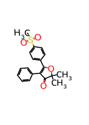 CC1(C)OC(c2ccc(S(C)(=O)=O)cc2)=C(c2ccccc2)C1=O